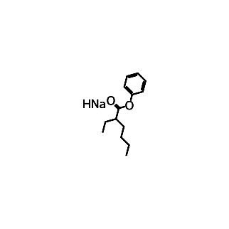 CCCCC(CC)C(=O)Oc1ccccc1.[NaH]